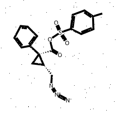 Cc1ccc(S(=O)(=O)OC(=O)[C@@]2(c3ccccc3)C[C@H]2CN=[N+]=[N-])cc1